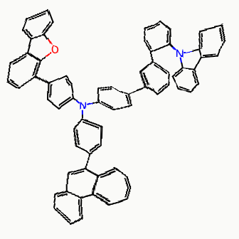 c1cc(-c2ccc(N(c3ccc(-c4cc5ccccc5c5ccccc45)cc3)c3ccc(-c4cccc5c4oc4ccccc45)cc3)cc2)cc(-c2ccccc2-n2c3ccccc3c3ccccc32)c1